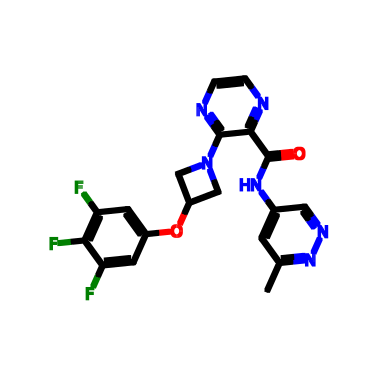 Cc1cc(NC(=O)c2nccnc2N2CC(Oc3cc(F)c(F)c(F)c3)C2)cnn1